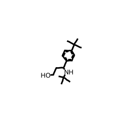 CC(C)(C)NC(CCO)c1ccc(C(C)(C)C)cc1